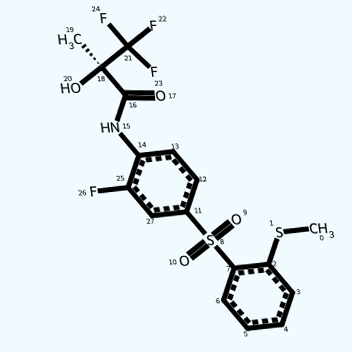 CSc1ccccc1S(=O)(=O)c1ccc(NC(=O)[C@@](C)(O)C(F)(F)F)c(F)c1